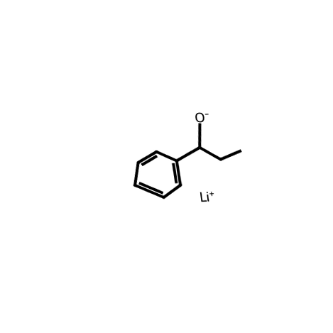 CCC([O-])c1ccccc1.[Li+]